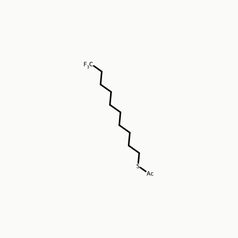 CC(=O)SCCCCCCCCCC(F)(F)F